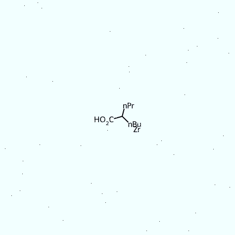 CCCCC(CCC)C(=O)O.[Zr]